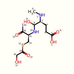 CN[C@@H](CCC(=O)O)C(O)N[C@@H](CSC(=O)CO)C(=O)I